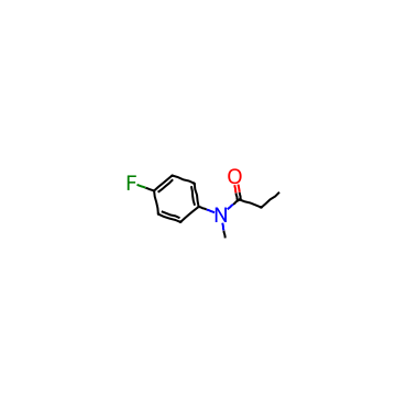 CCC(=O)N(C)c1ccc(F)cc1